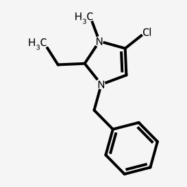 CCC1N(Cc2ccccc2)C=C(Cl)N1C